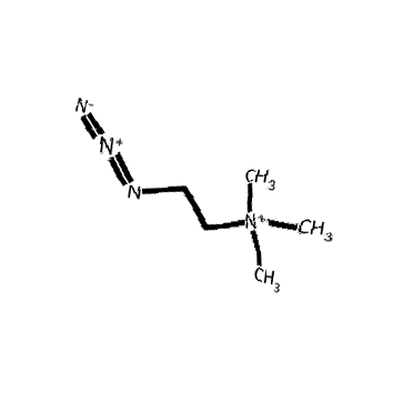 C[N+](C)(C)CCN=[N+]=[N-]